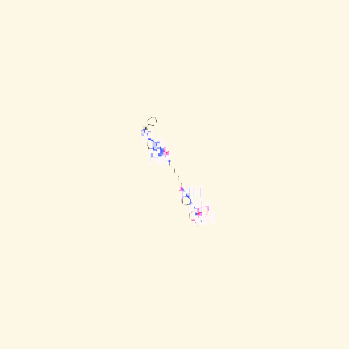 Cc1cc(N2CC[C@](C)(c3ccccc3)C2)cn2nc(C(=O)NCCCCCCCC(=O)Nc3cccc(NC4CCC(=O)NC4=O)c3)nc12